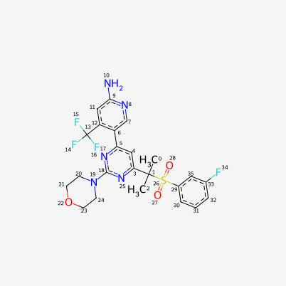 CC(C)(c1cc(-c2cnc(N)cc2C(F)(F)F)nc(N2CCOCC2)n1)S(=O)(=O)c1cccc(F)c1